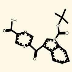 CC(C)(C)OC(=O)n1cc(C(=O)c2cnc(C(=O)O)cn2)c2ccccc21